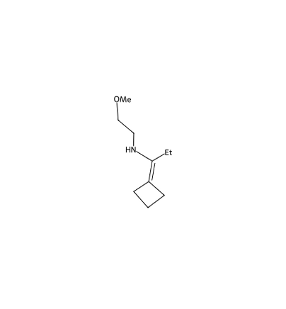 CCC(NCCOC)=C1CCC1